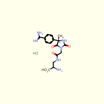 C[C@@]1(c2ccc(C(=N)N)cc2)NC(=O)N(CC(=O)NCC(N)C(=O)O)C1=O.Cl